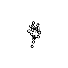 c1ccc(-c2ccc(-c3cc(-c4cccc(-c5cccc(-c6nc(-c7ccccc7)nc(-c7cccc8c7oc7c(-c9ccccc9)cccc78)n6)c5)c4)nc(-c4ccc(-c5ccccc5)cc4)n3)cc2)cc1